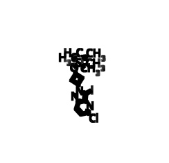 CC(C)(C)[Si](C)(C)OC1CC(n2nc3ccc(Cl)nc3c2I)C1